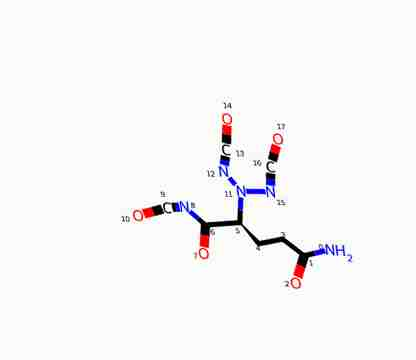 NC(=O)CC[C@@H](C(=O)N=C=O)N(N=C=O)N=C=O